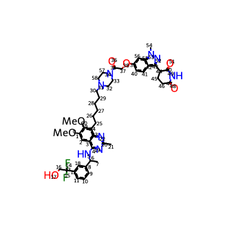 COc1cc2c(NC(C)c3cccc(C(F)(F)CO)c3)nc(C)nc2c(CCCCCCN2CCN(C(=O)COc3ccc4c(C5CCC(=O)NC5=O)nn(C)c4c3)CC2)c1OC